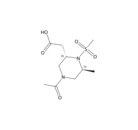 CC(=O)N1C[C@H](CC(=O)O)N(S(C)(=O)=O)[C@@H](C)C1